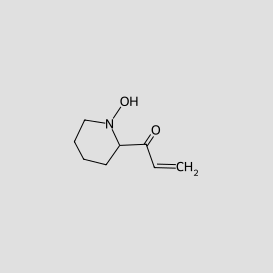 C=CC(=O)C1CCCCN1O